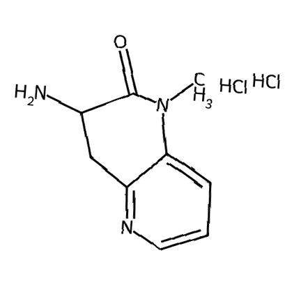 CN1C(=O)C(N)Cc2ncccc21.Cl.Cl